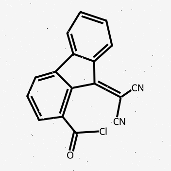 N#CC(C#N)=C1c2ccccc2-c2cccc(C(=O)Cl)c21